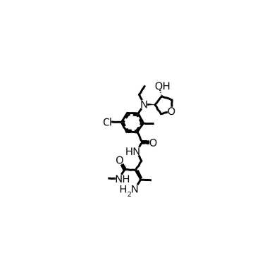 CCN(c1cc(Cl)cc(C(=O)NC/C(C(=O)NC)=C(\C)N)c1C)[C@@H]1COC[C@H]1O